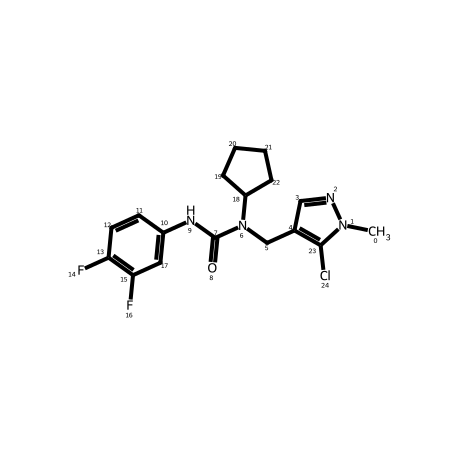 Cn1ncc(CN(C(=O)Nc2ccc(F)c(F)c2)C2CCCC2)c1Cl